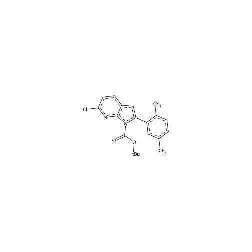 CC(C)(C)OC(=O)n1c(-c2cc(C(F)(F)F)ccc2C(F)(F)F)cc2ccc(Cl)nc21